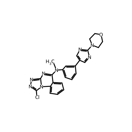 CN(c1cccc(-c2cnc(N3CCOCC3)nc2)c1)c1nc2nnc(Cl)n2c2ccccc12